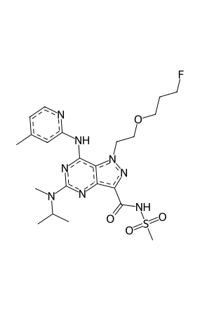 Cc1ccnc(Nc2nc(N(C)C(C)C)nc3c(C(=O)NS(C)(=O)=O)nn(CCOCCCF)c23)c1